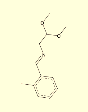 COC(C/N=C/c1ccccc1C)OC